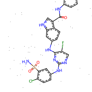 NS(=O)(=O)c1cc(Nc2ncc(F)c(Nc3ccc4c(C(=O)Nc5ccccc5)c[nH]c4c3)n2)ccc1Cl